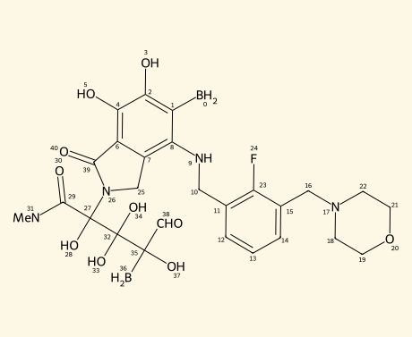 Bc1c(O)c(O)c2c(c1NCc1cccc(CN3CCOCC3)c1F)CN(C(O)(C(=O)NC)C(O)(O)C(B)(O)C=O)C2=O